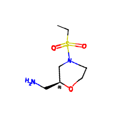 CCS(=O)(=O)N1CCO[C@@H](CN)C1